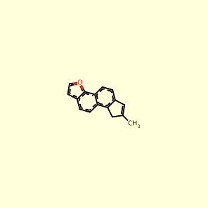 CC1=Cc2ccc3c(ccc4ccoc43)c2C1